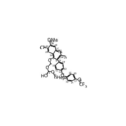 CCCCCCCOC(O)OCOc1c(-c2ccc(Oc3ccc(OC(F)(F)F)cc3)cc2)c(C)nc2cc(OC)c(Cl)cc12